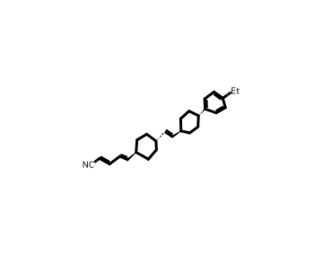 CCc1ccc([C@H]2CC[C@H](C=C[C@H]3CC[C@H](C=CC=CC#N)CC3)CC2)cc1